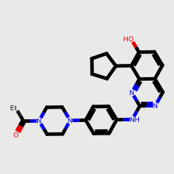 CCC(=O)N1CCN(c2ccc(Nc3ncc4ccc(O)c(C5CCCC5)c4n3)cc2)CC1